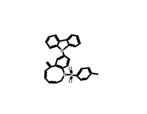 C=C1/C=C\C=C/CN(S(=O)(=O)c2ccc(C)cc2)c2ccc(-n3c4ccccc4c4ccccc43)cc21